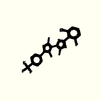 Cc1sc(-c2ccc(C(F)(F)F)cc2)c(C)c1-c1nc(-c2c(F)cccc2Cl)nn1C